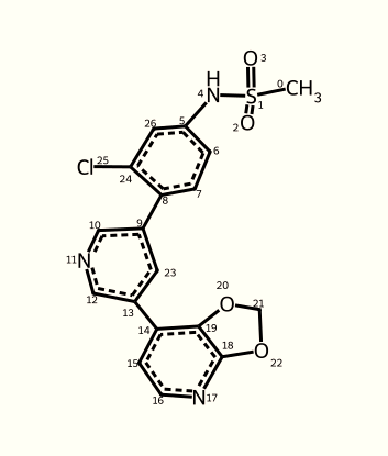 CS(=O)(=O)Nc1ccc(-c2cncc(-c3ccnc4c3OCO4)c2)c(Cl)c1